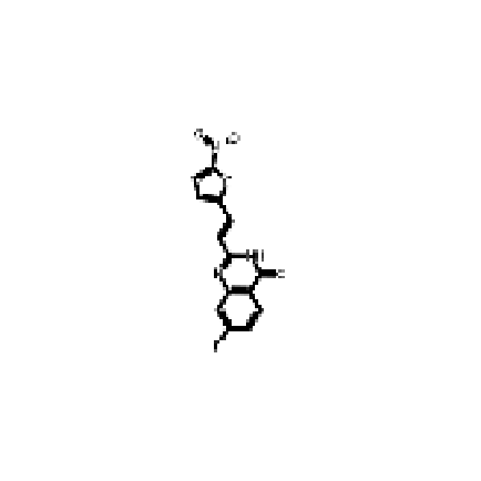 O=c1[nH]c(/C=C/c2ccc([N+](=O)[O-])o2)nc2cc(F)ccc12